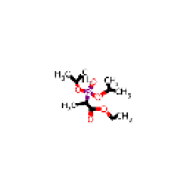 CCOC(=O)C(C)P(=O)(OC(C)C)OC(C)C